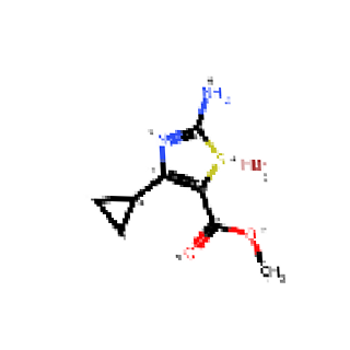 Br.COC(=O)c1sc(N)nc1C1CC1